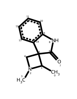 CC1N(C)CC12C(=O)Nc1ccccc12